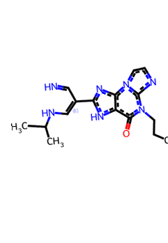 CCCn1c(=O)c2[nH]c(/C(C=N)=C/NC(C)C)nc2n2ccnc12